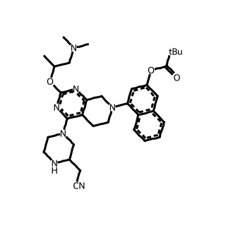 CC(CN(C)C)Oc1nc2c(c(N3CCNC(CC#N)C3)n1)CCN(c1cc(OC(=O)C(C)(C)C)cc3ccccc13)C2